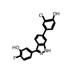 Oc1cc(-c2n[nH]c3cc(-c4ccc(O)c(Cl)c4)ccc23)ccc1F